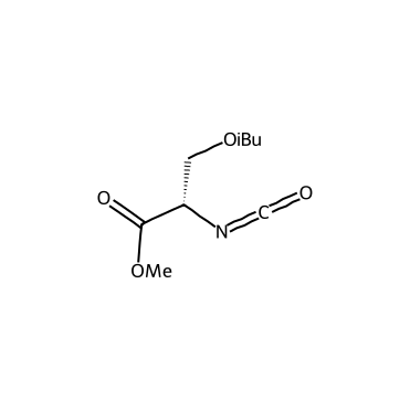 COC(=O)[C@H](COCC(C)C)N=C=O